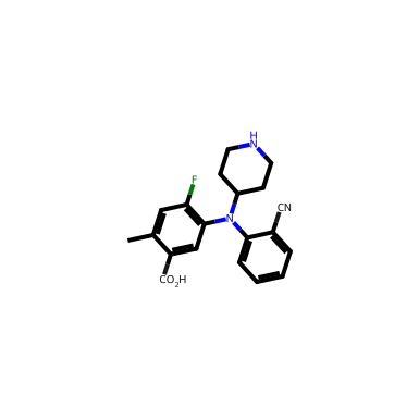 Cc1cc(F)c(N(c2ccccc2C#N)C2CCNCC2)cc1C(=O)O